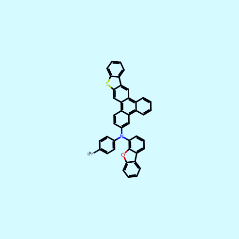 CC(C)c1ccc(N(c2ccc3c(c2)c2ccccc2c2cc4c(cc32)sc2ccccc24)c2cccc3c2oc2ccccc23)cc1